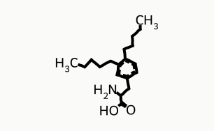 CCCCCc1ccc(CC(N)C(=O)O)cc1CCCCC